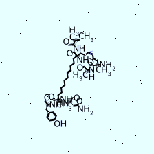 CC[C@H](C)[C@@H](C=O)NC(=O)[C@@](N)(CC/C=C\CC[C@](C)(N)C(=O)N[C@@H](C)C=O)CCCC=CCCCCCC[C@](C)(NN[C@H](C=O)CC(N)=O)C(=O)N[C@H](C=O)Cc1ccc(O)cc1